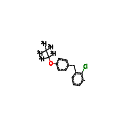 [2H]C([2H])([2H])C([2H])([2H])Oc1ccc(Cc2ccc[c]c2Cl)cc1